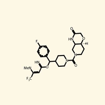 CN/C(=C\C(=N)OC(c1ccc(F)cc1)C1CCN(C(=O)N2CC[C@@H]3OCC(=O)NC3C2)CC1)C(F)(F)F